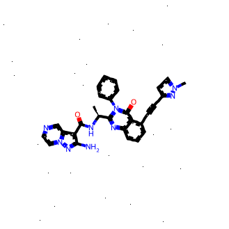 C[C@H](NC(=O)c1c(N)nn2ccncc12)c1nc2cccc(C#Cc3ccn(C)n3)c2c(=O)n1-c1ccccc1